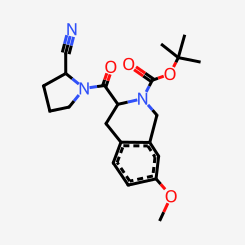 COc1ccc2c(c1)CN(C(=O)OC(C)(C)C)C(C(=O)N1CCCC1C#N)C2